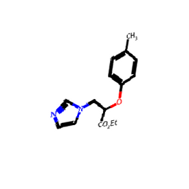 CCOC(=O)C(Cn1ccnc1)Oc1ccc(C)cc1